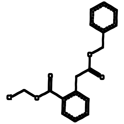 O=C(Cc1ccccc1C(=O)OCCl)OCc1ccccc1